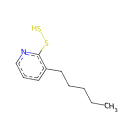 CCCCCc1cccnc1SS